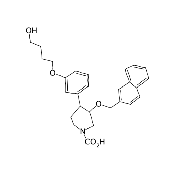 O=C(O)N1CCC(c2cccc(OCCCCO)c2)C(OCc2ccc3ccccc3c2)C1